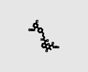 CNC(=O)c1oc2c(C(=O)NCCCN3CCN(c4cc(Cl)ccc4OC)CC3)cccc2c(=O)c1C